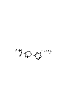 CNC(=O)c1ccc(-c2cccc(CC(=O)O)c2)cn1